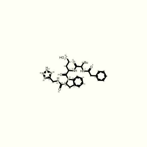 CCC(C)C(NC(=O)Cc1ccccc1)C(=O)NC(CCC(=O)O)C(=O)N1c2ccccc2C[C@H]1C(=O)NCc1nn[nH]n1